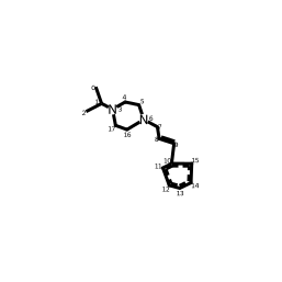 CC(C)N1CCN(C/C=C/c2ccccc2)CC1